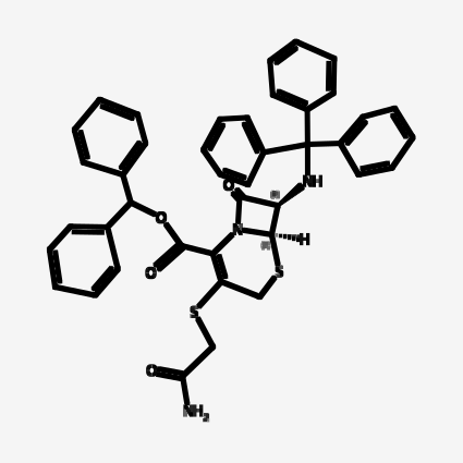 NC(=O)CSC1=C(C(=O)OC(c2ccccc2)c2ccccc2)N2C(=O)[C@@H](NC(c3ccccc3)(c3ccccc3)c3ccccc3)[C@H]2SC1